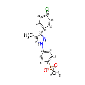 Cc1cn(-c2ccc(S(C)(=O)=O)cc2)nc1-c1ccc(Cl)cc1